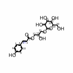 O=C(/C=C/c1ccc(O)cc1)OC[C@@H](O)CO[C@@H]1OC(CO)[C@@H](O)[C@@H](O)C1O